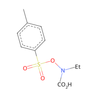 CCN(OS(=O)(=O)c1ccc(C)cc1)C(=O)O